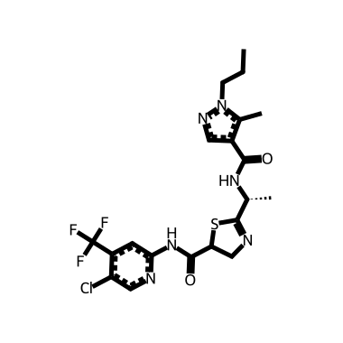 CCCn1ncc(C(=O)N[C@H](C)C2=NCC(C(=O)Nc3cc(C(F)(F)F)c(Cl)cn3)S2)c1C